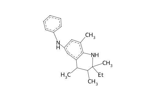 CCC1(C)Nc2c(C)cc(Nc3ccccc3)cc2C(C)C1C